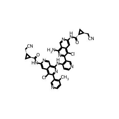 Cc1ccncc1-c1nc(Nc2ccncc2-c2nc(N)c3cnc(NC(=O)[C@@H]4C[C@H]4CC#N)cc3c2Cl)c2cnc(NC(=O)[C@H]3C[C@@H]3CC#N)cc2c1Cl